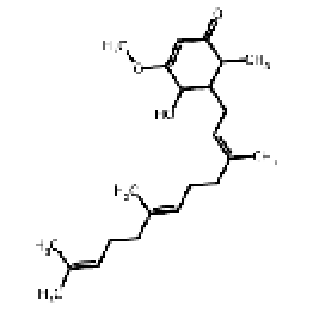 COC1=CC(=O)C(C)C(C/C=C(\C)CC/C=C(\C)CCC=C(C)C)C1O